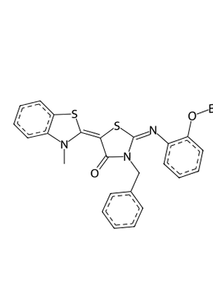 CCOc1ccccc1N=C1S/C(=C2\Sc3ccccc3N2C)C(=O)N1Cc1ccccc1